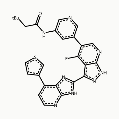 CC(C)(C)CC(=O)Nc1cncc(-c2cnc3[nH]nc(-c4nc5c(-c6ccsc6)ccnc5[nH]4)c3c2F)c1